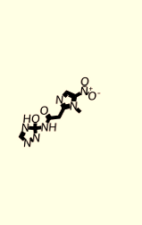 Cn1c([N+](=O)[O-])cnc1CC(=O)NC1(O)N=CN=N1